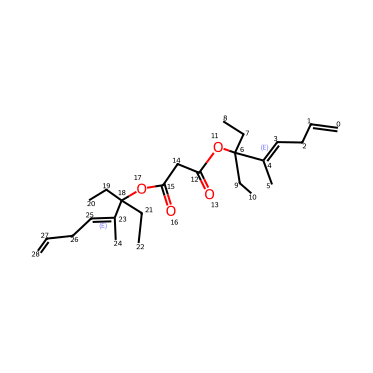 C=CC/C=C(\C)C(CC)(CC)OC(=O)CC(=O)OC(CC)(CC)/C(C)=C/CC=C